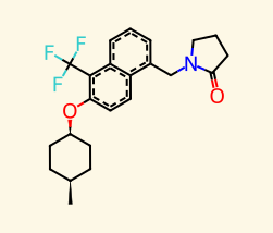 C[C@H]1CC[C@@H](Oc2ccc3c(CN4CCCC4=O)cccc3c2C(F)(F)F)CC1